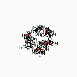 N.O=S(=O)(O)OC[C@H]1O[C@@H]2O[C@H]3[C@H](O)[C@@H](O)[C@@H](O[C@H]4[C@H](O)[C@@H](O)[C@@H](O[C@H]5[C@H](O)[C@@H](O)[C@@H](O[C@H]6[C@H](O)[C@@H](O)[C@@H](O[C@H]7[C@H](O)[C@@H](O)[C@@H](O[C@H]1[C@H](O)[C@H]2O)O[C@@H]7CO)O[C@@H]6CO)O[C@@H]5CO)O[C@@H]4CO)O[C@@H]3CO